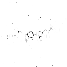 CC(C)(C)OC(=O)CNc1ccc(N2CC(CNC(O)=S)OC2=O)cc1F